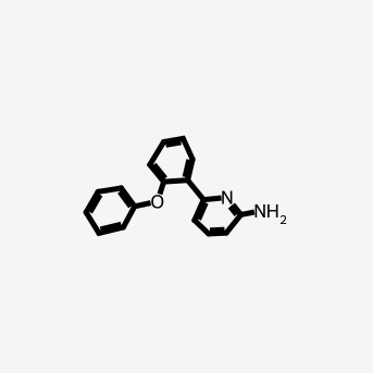 Nc1cccc(-c2ccccc2Oc2ccccc2)n1